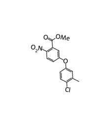 COC(=O)c1cc(Oc2ccc(Cl)c(C)c2)ccc1[N+](=O)[O-]